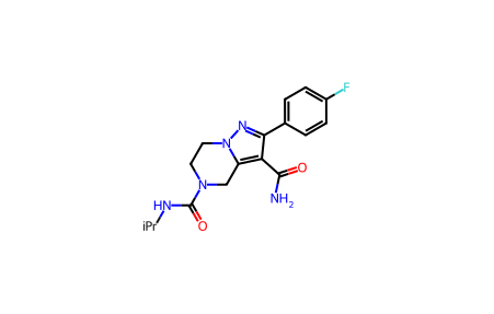 CC(C)NC(=O)N1CCn2nc(-c3ccc(F)cc3)c(C(N)=O)c2C1